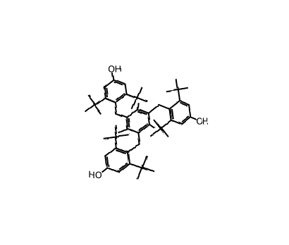 Cc1c(Cc2c(C(C)(C)C)cc(O)cc2C(C)(C)C)c(C)c(Cc2c(C(C)(C)C)cc(O)cc2C(C)(C)C)c(C)c1Cc1c(C(C)(C)C)cc(O)cc1C(C)(C)C